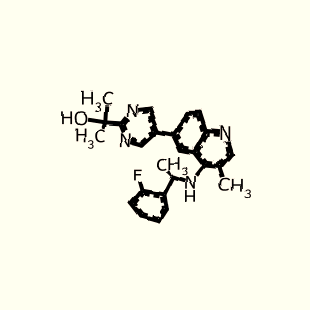 Cc1cnc2ccc(-c3cnc(C(C)(C)O)nc3)cc2c1N[C@H](C)c1ccccc1F